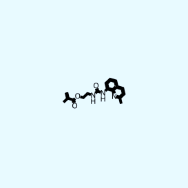 C=C(C)C(=O)OCCNC(=O)Nc1cccc2ccc(C)nc12